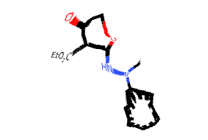 CCOC(=O)C1=C(NN(C)c2ccccc2)OCC1=O